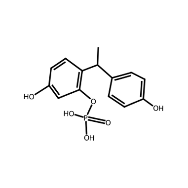 CC(c1ccc(O)cc1)c1ccc(O)cc1OP(=O)(O)O